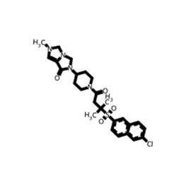 CN1C=C2C(=O)N(C3CCN(C(=O)CC(C)(C)S(=O)(=O)c4ccc5cc(Cl)ccc5c4)CC3)CN2C1